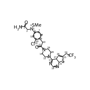 CSN(CC(N)=O)c1ccc(CC(=O)N2CCN(C3=NC=NC4SC(CC(F)(F)F)=CC34)CC2)c(Cl)c1